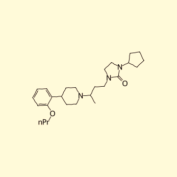 CCCOc1ccccc1C1CCN(C(C)CCN2CCN(C3CCCC3)C2=O)CC1